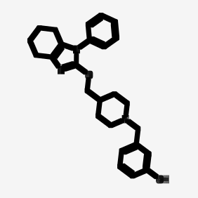 Oc1cccc(CN2CCC(COc3nc4c(n3-c3ccccc3)CCCC4)CC2)c1